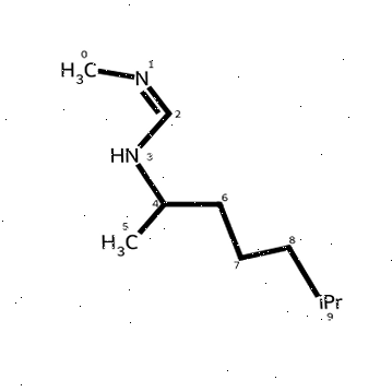 C/N=C\NC(C)CCCC(C)C